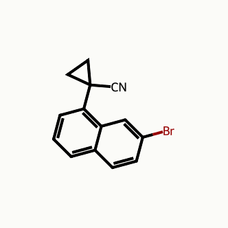 N#CC1(c2cccc3ccc(Br)cc23)CC1